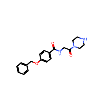 O=C(NCC(=O)N1CCNCC1)c1ccc(OCc2ccccc2)cc1